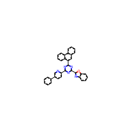 c1ccc(-c2ccc(-c3nc(-c4nc5ccccc5o4)nc(-c4cc5ccccc5c5ccccc45)n3)nc2)cc1